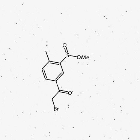 COS(=O)c1cc(C(=O)CBr)ccc1C